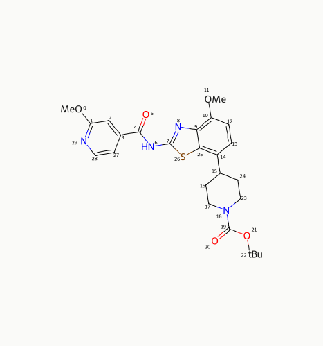 COc1cc(C(=O)Nc2nc3c(OC)ccc(C4CCN(C(=O)OC(C)(C)C)CC4)c3s2)ccn1